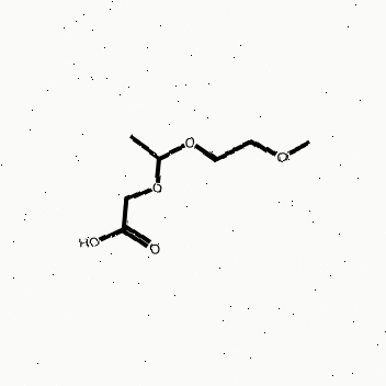 COCCOC(C)OCC(=O)O